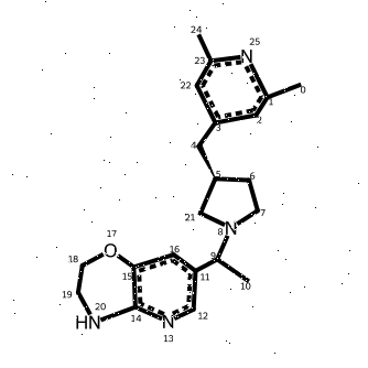 Cc1cc(C[C@H]2CCN(C(C)c3cnc4c(c3)OCCN4)C2)cc(C)n1